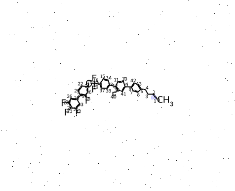 C/C=C/CCc1ccc(-c2ccc(-c3ccc(C(F)(F)Oc4ccc(-c5cc(F)c(F)c(F)c5)c(F)c4)cc3)c(F)c2)cc1